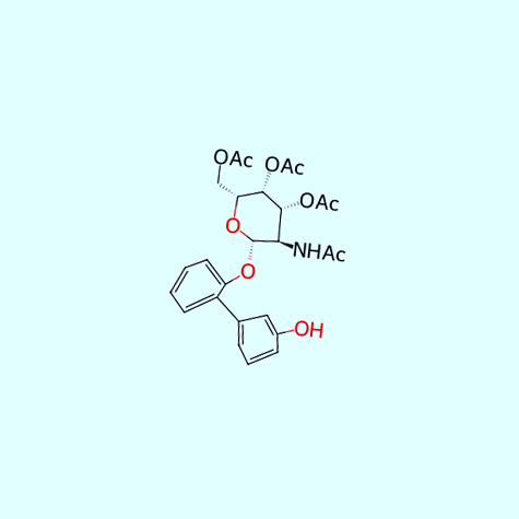 CC(=O)N[C@H]1[C@H](Oc2ccccc2-c2cccc(O)c2)O[C@H](COC(C)=O)[C@H](OC(C)=O)[C@@H]1OC(C)=O